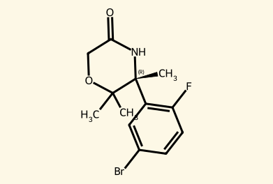 CC1(C)OCC(=O)N[C@]1(C)c1cc(Br)ccc1F